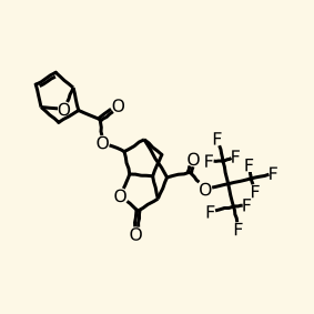 O=C(OC1C2CC3C1OC(=O)C3C2C(=O)OC(C(F)(F)F)(C(F)(F)F)C(F)(F)F)C1CC2C=CC1O2